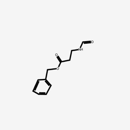 O=[C]NCCC(=O)OCc1ccccc1